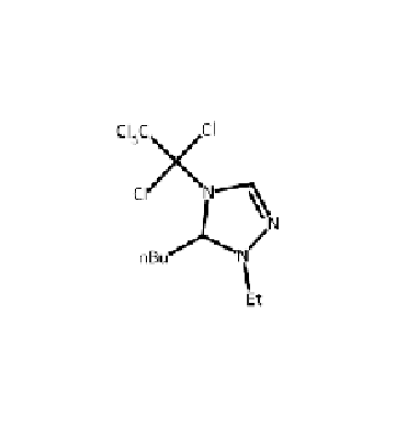 CCCCC1N(CC)N=CN1C(Cl)(Cl)C(Cl)(Cl)Cl